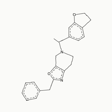 CC(c1ccc2c(c1)OCC2)N1CCc2nc(Cc3ccccc3)oc2C1